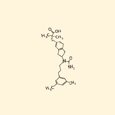 Cc1cc(C)cc(CCCN(C(N)=O)C2Cc3ccc(SC(C)(C)C(=O)O)cc3C2)c1